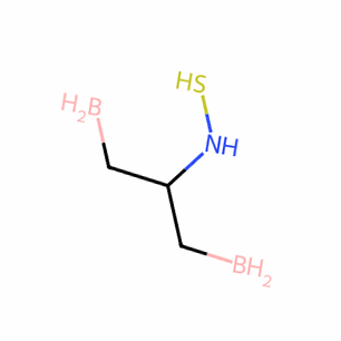 BCC(CB)NS